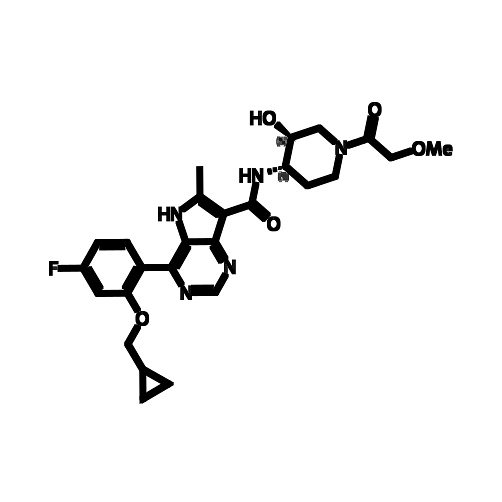 COCC(=O)N1CC[C@H](NC(=O)c2c(C)[nH]c3c(-c4ccc(F)cc4OCC4CC4)ncnc23)[C@@H](O)C1